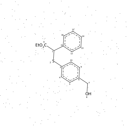 CCOC(=O)C(Sc1ccc(CO)cc1)c1ccccc1